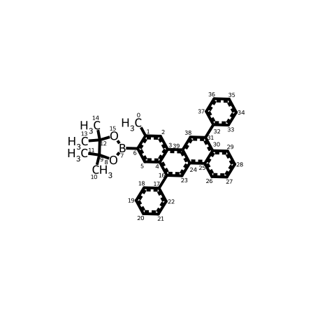 Cc1cc2c(cc1B1OC(C)(C)C(C)(C)O1)c(-c1ccccc1)cc1c3ccccc3c(-c3ccccc3)cc21